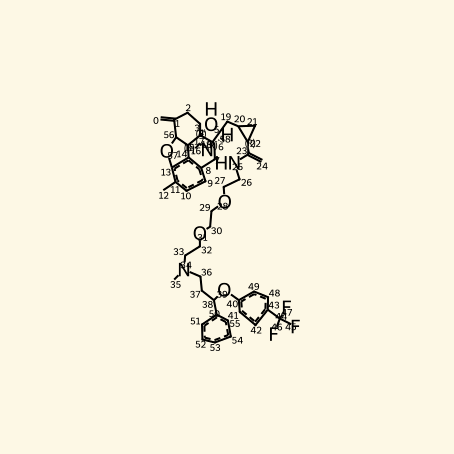 C=C1CC[C@@]2(O)[C@H]3Cc4ccc(C)c5c4[C@@]2(CCN3CC2C[C@H]2C(=C)NCCOCCOCCN(C)CCC(Oc2ccc(C(F)(F)F)cc2)c2ccccc2)C1O5